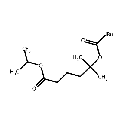 CCC(C)C(=O)OC(C)(C)CCCC(=O)OC(C)C(F)(F)F